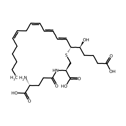 CCCCC/C=C\C\C=C/C=C/C=C/[C@@H](SC[C@H](NC(=O)CC[C@@H](N)C(=O)O)C(=O)O)[C@@H](O)CCCC(=O)O